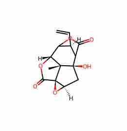 C=C[C@@H]1C2OC(=O)C1[C@]1(O)C[C@H]3O[C@]34C(=O)O[C@H]2[C@]14C